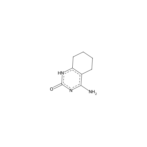 Nc1nc(=O)[nH]c2c1CCCC2